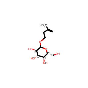 C=C(CCOC1O[C@H](CO)[C@@H](O)[C@H](O)[C@H]1O)C(=O)O